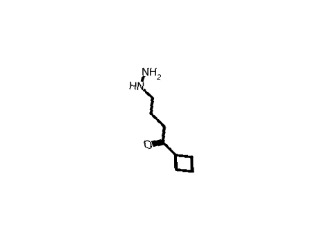 NNCCCC(=O)C1CCC1